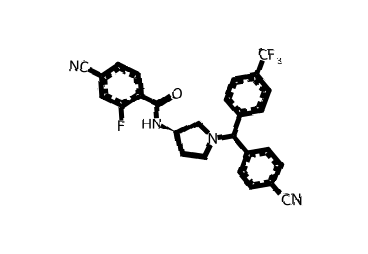 N#Cc1ccc(C(c2ccc(C(F)(F)F)cc2)N2CC[C@@H](NC(=O)c3ccc(C#N)cc3F)C2)cc1